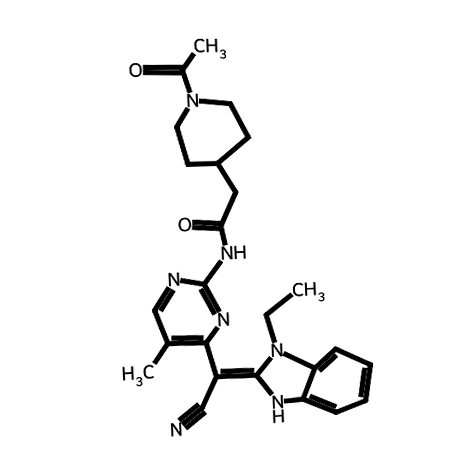 CCN1C(=C(C#N)c2nc(NC(=O)CC3CCN(C(C)=O)CC3)ncc2C)Nc2ccccc21